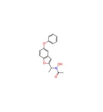 CC(=O)N(O)C(C)c1cc2cc(Oc3ccccc3)ccc2o1